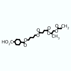 C=CC(=O)OCC(C)OC(=O)CCC(=O)OCCCCOC(=O)C1CCC(C(=O)O)CC1